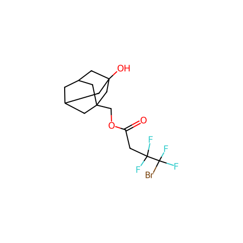 O=C(CC(F)(F)C(F)(F)Br)OCC12CC3CC(CC(O)(C3)C1)C2